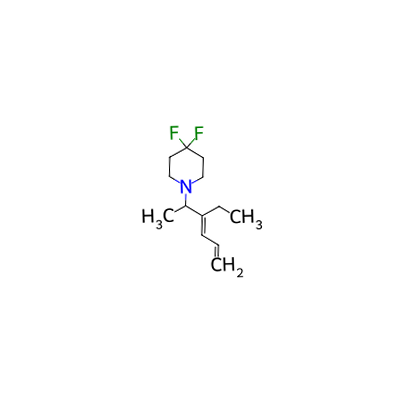 C=C/C=C(\CC)C(C)N1CCC(F)(F)CC1